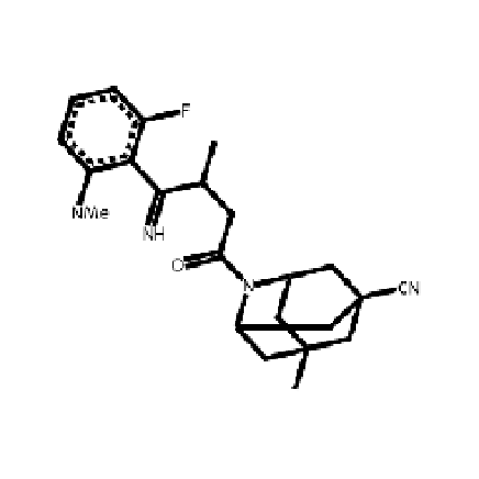 CNc1cccc(F)c1C(=N)C(C)CC(=O)N1C2CC3(C)CC1CC(C#N)(C2)C3